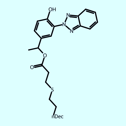 CCCCCCCCCCCCSCCC(=O)OC(C)c1ccc(O)c(-n2nc3ccccc3n2)c1